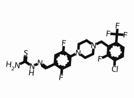 NC(=S)N/N=C/c1cc(F)c(N2CCN(Cc3c(C(F)(F)F)ccc(Cl)c3F)CC2)cc1F